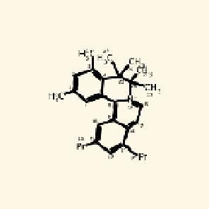 Cc1cc(C)c2c(c1)-c1c3cc(C(C)C)cc(C(C)C)c3cc[n+]1C(C)(C)C2(C)C